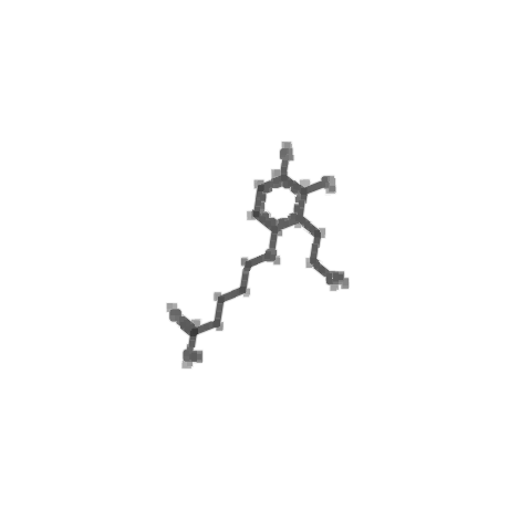 CCCc1c(OCCCCC(=O)O)ccc(Cl)c1Cl